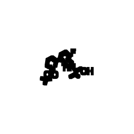 CC(C)C(CO)NCc1nc(C2=CCCN(C(=O)OC(C)(C)C)C2)ccc1F